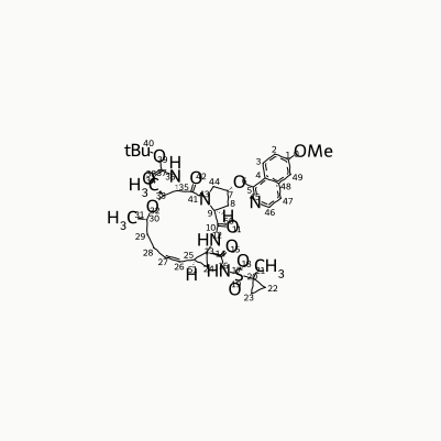 COc1ccc2c(O[C@@H]3C[C@H]4C(=O)N[C@]5(C(=O)NS(=O)(=O)C6(C)CC6)C[C@H]5/C=C\CC[C@@H](C)O[C@@H](C)[C@H](NC(=O)OC(C)(C)C)C(=O)N4C3)nccc2c1